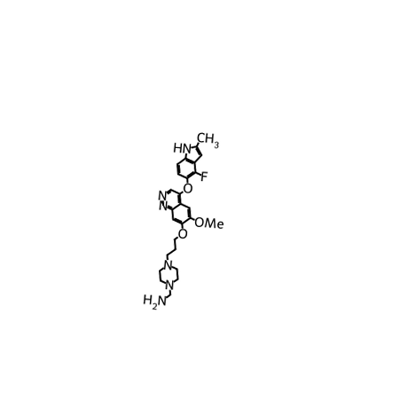 COc1cc2c(Oc3ccc4[nH]c(C)cc4c3F)cnnc2cc1OCCCN1CCN(CN)CC1